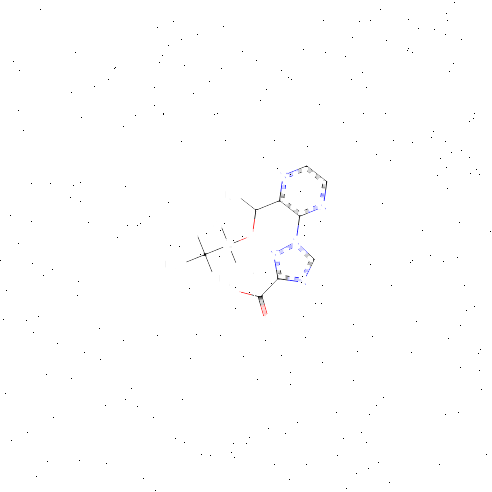 CC(O[Si](C)(C)C(C)(C)C)c1nccnc1-n1cnc(C(=O)O)n1